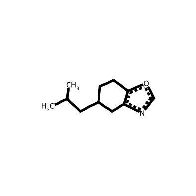 CC(C)CC1CCc2ocnc2C1